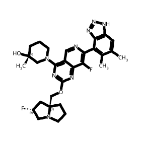 Cc1cc2[nH]nnc2c(-c2ncc3c(N4CCC[C@@](C)(O)C4)nc(OC[C@@]45CCCN4C[C@H](F)C5)nc3c2F)c1C